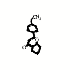 CCc1ccc(-c2cc(=O)c3ccccc3o2)cc1